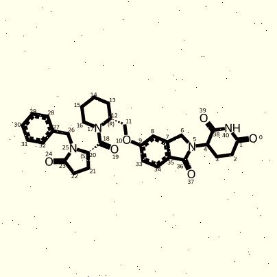 O=C1CCC(N2Cc3cc(OC[C@H]4CCCCN4C(=O)[C@@H]4CCC(=O)N4Cc4ccccc4)ccc3C2=O)C(=O)N1